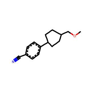 COCC1CCC(c2ccc(C#N)cc2)CC1